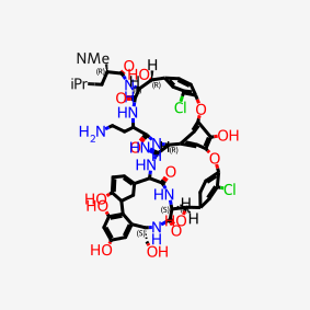 CN[C@H](CC(C)C)C(=O)N[C@H]1C(=O)NC(CCN)C(=O)N[C@H]2C(=N)NC3C(=O)N[C@H](C(=O)N[C@H](CO)c4cc(O)cc(O)c4C4CC3=CC=C4O)[C@H](O)C3C=C(Cl)C(=CC3)Oc3cc2cc(c3O)Oc2ccc(cc2Cl)[C@H]1O